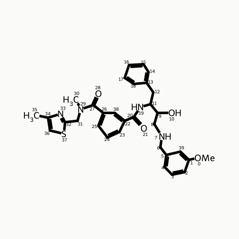 COc1cccc(CNCC(O)C(Cc2ccccc2)NC(=O)c2cccc(C(=O)N(C)Cc3nc(C)cs3)c2)c1